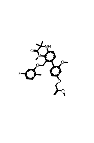 C=C(COc1ccc(-c2ccc3c(c2COc2cc(F)ccc2C)N(C)C(=O)C(C)(C)N3)c(OC)c1)OC